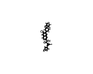 C[C@@H]1[C@@H](C(=O)Nc2cc3cc(C4CCN([C@]5(C)COC[C@@H]5F)CC4)c(Cl)cc3cn2)[C@@H]1c1cnn(C)c1